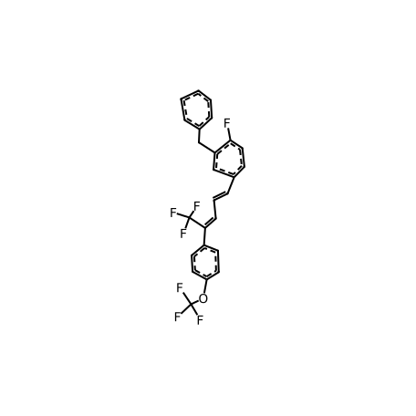 Fc1ccc(C=CC=C(c2ccc(OC(F)(F)F)cc2)C(F)(F)F)cc1Cc1ccccc1